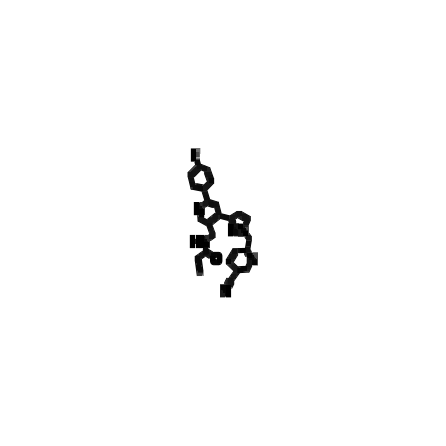 C=CC(=O)NCc1cnc(-c2ccc(F)cc2)cc1-c1ccn(Cc2ccc(C#N)cn2)n1